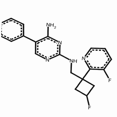 Nc1nc(NCC2(c3ncccc3F)CC(F)C2)ncc1-c1ccccc1